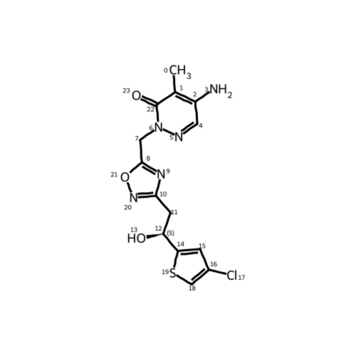 Cc1c(N)cnn(Cc2nc(C[C@H](O)c3cc(Cl)cs3)no2)c1=O